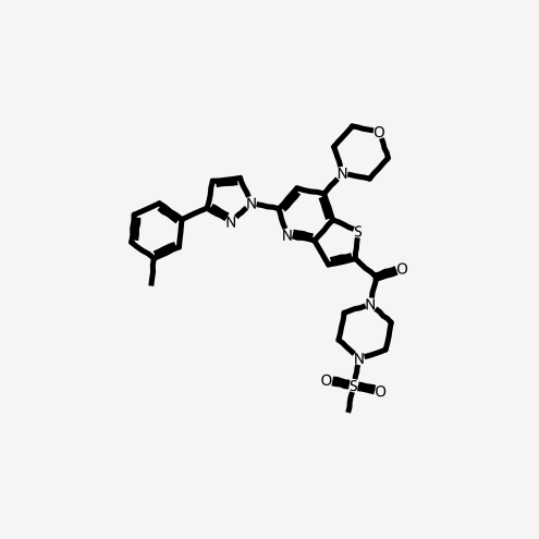 Cc1cccc(-c2ccn(-c3cc(N4CCOCC4)c4sc(C(=O)N5CCN(S(C)(=O)=O)CC5)cc4n3)n2)c1